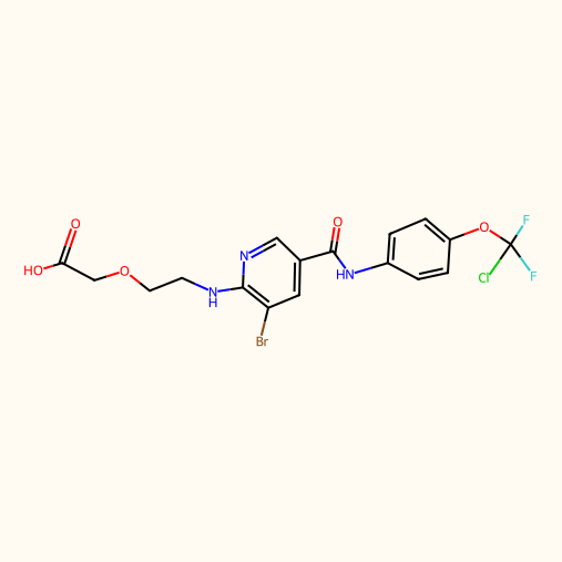 O=C(O)COCCNc1ncc(C(=O)Nc2ccc(OC(F)(F)Cl)cc2)cc1Br